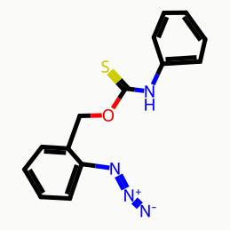 [N-]=[N+]=Nc1ccccc1COC(=S)Nc1ccccc1